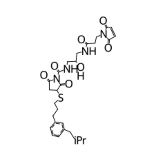 CC(C)Cc1cccc(CCCSC2CC(=O)N(C(=O)NCC(O)CNC(=O)CCN3C(=O)C=CC3=O)C2=O)c1